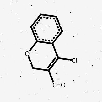 O=CC1=C(Cl)c2ccccc2OC1